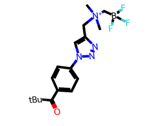 CC(C)(C)C(=O)c1ccc(-n2cc(C[N+](C)(C)C[B-](F)(F)F)nn2)cc1